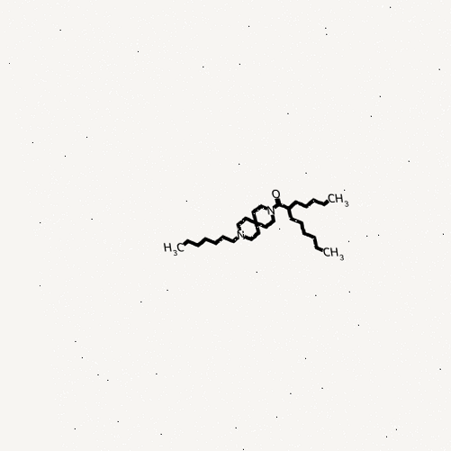 CCCCCCCN1CCC2(CC1)CCN(C(=O)C(CCCCC)CCCCCC)CC2